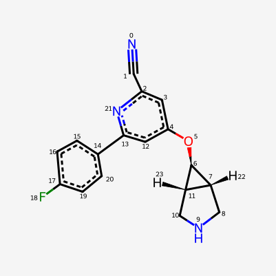 N#Cc1cc(O[C@H]2[C@@H]3CNC[C@@H]32)cc(-c2ccc(F)cc2)n1